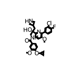 COc1cc(C(=O)NCC(O)(CC2CNC2)c2ccc(OC)c(-c3ccc(F)c(Cl)c3)n2)ccc1OC1CC1